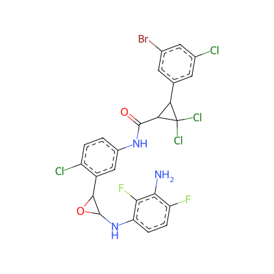 Nc1c(F)ccc(NC2OC2c2cc(NC(=O)C3C(c4cc(Cl)cc(Br)c4)C3(Cl)Cl)ccc2Cl)c1F